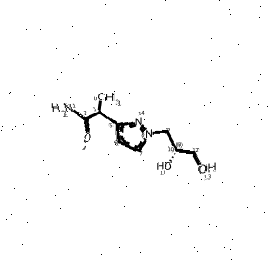 CC(C(N)=O)c1ccn(C[C@@H](O)CO)n1